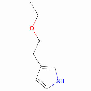 CCOCCc1cc[nH]c1